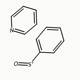 O=[S+]c1ccccc1.c1ccncc1